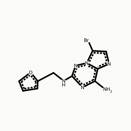 Nc1nc(NCc2ccco2)nn2c(Br)cnc12